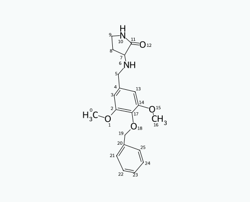 COc1cc(CNC2CCNC2=O)cc(OC)c1OCc1ccccc1